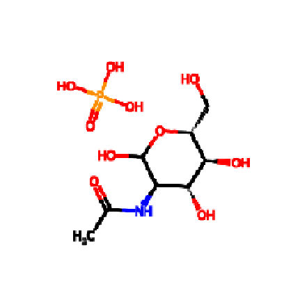 CC(=O)N[C@H]1C(O)O[C@H](CO)[C@@H](O)[C@@H]1O.O=P(O)(O)O